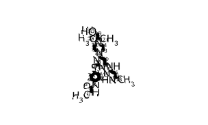 CCC(=O)Nc1ccc(Sc2nc(N/C(N)=C/C(C)=N)cc(N3CCN(C(C)(C)CO)CC3)n2)cc1